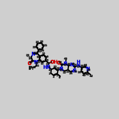 CC1=CCC(NC(O)c2ccc3c(c2)N(CC(C)C)C(=O)[C@H](C)N=C3c2ccccc2)C=C1N1CC2C=NC(Nc3ccc(C)nc3)=NC2N(C)C1=O